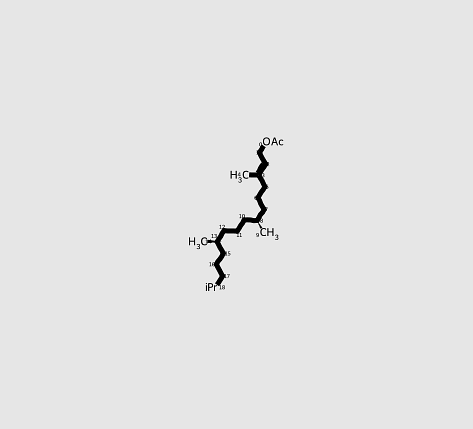 CC(=O)OC/C=C(\C)CCC[C@H](C)CCC[C@H](C)CCCC(C)C